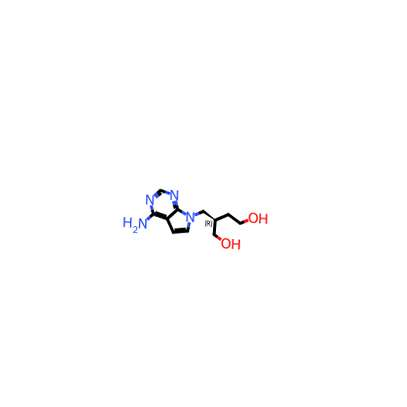 Nc1ncnc2c1ccn2C[C@H](CO)CCO